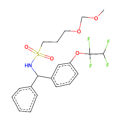 COCOCCCS(=O)(=O)NC(c1ccccc1)c1cccc(OC(F)(F)C(F)F)c1